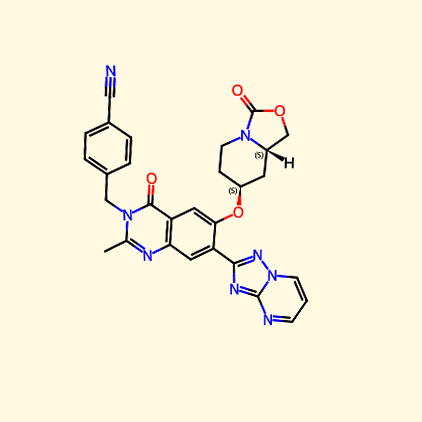 Cc1nc2cc(-c3nc4ncccn4n3)c(O[C@H]3CCN4C(=O)OC[C@@H]4C3)cc2c(=O)n1Cc1ccc(C#N)cc1